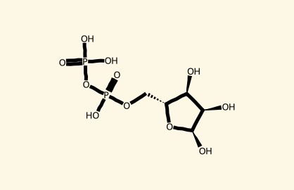 O=P(O)(O)OP(=O)(O)OC[C@H]1O[C@H](O)[C@H](O)[C@@H]1O